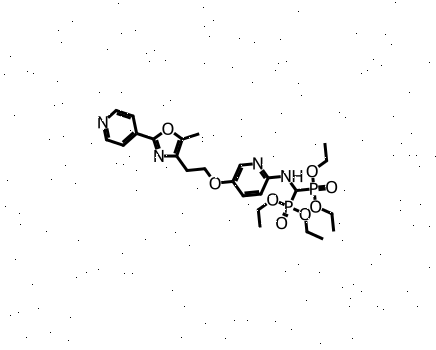 CCOP(=O)(OCC)C(Nc1ccc(OCCc2nc(-c3ccncc3)oc2C)cn1)P(=O)(OCC)OCC